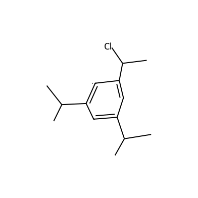 CC(C)c1[c]c(C(C)Cl)cc(C(C)C)c1